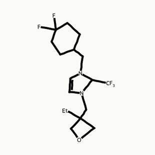 CCC1(CN2C=CN(CC3CCC(F)(F)CC3)C2C(F)(F)F)COC1